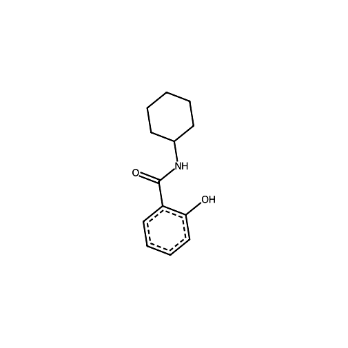 O=C(NC1CCCCC1)c1ccccc1O